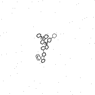 c1ccc(-n2c3ccccc3c3c(N(c4ccc(C5CCCCC5)cc4)c4cccc5c(-c6ccc7c(c6)C6(c8ccccc8-7)C7CC8CC(C7)CC6C8)cccc45)cccc32)cc1